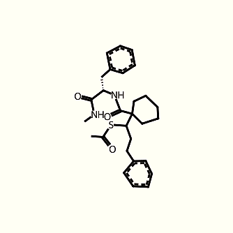 CNC(=O)[C@H](Cc1ccccc1)NC(=O)C1(C(CCc2ccccc2)SC(C)=O)CCCCC1